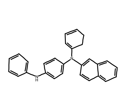 C1=CCCC(N(c2ccc(Nc3ccccc3)cc2)c2ccc3ccccc3c2)=C1